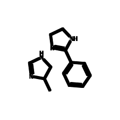 CC1CNC=N1.c1ccc(C2=NCCN2)cc1